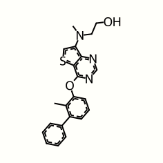 Cc1c(Oc2ncnc3c(N(C)CCO)csc23)cccc1-c1ccccc1